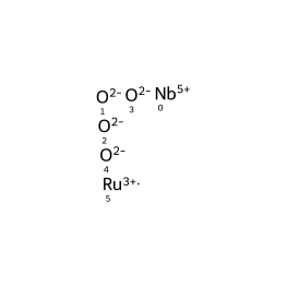 [Nb+5].[O-2].[O-2].[O-2].[O-2].[Ru+3]